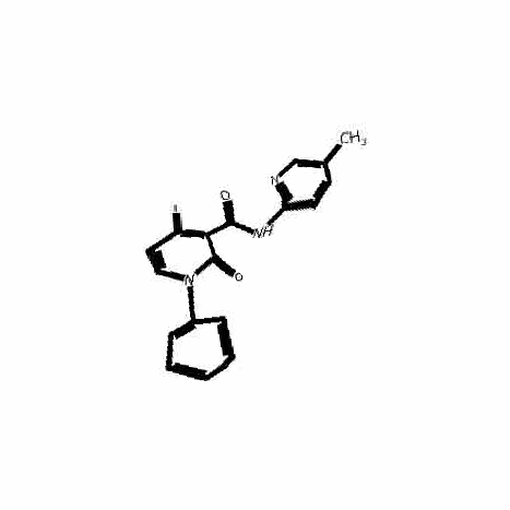 Cc1ccc(NC(=O)c2c(I)ccn(-c3ccccc3)c2=O)nc1